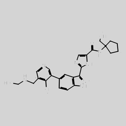 CCNCc1cncc(-c2ccc3[nH]nc(-c4ncc(C(=O)NC5(CO)CCCC5)[nH]4)c3c2)c1C